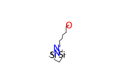 C[Si]1(C)CCC[Si](C)(C)N1N=CCCCCC=O